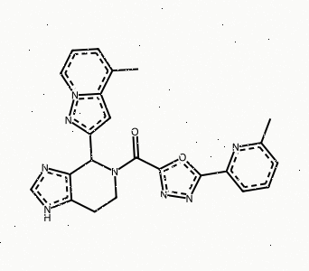 Cc1cccc(-c2nnc(C(=O)N3CCc4[nH]cnc4C3c3cc4c(C)cccn4n3)o2)n1